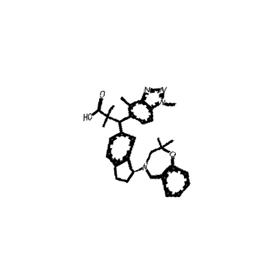 Cc1c(C(c2ccc3c(c2)[C@@H](N2Cc4ccccc4OC(C)(C)C2)CC3)C(C)(C)C(=O)O)ccc2c1nnn2C